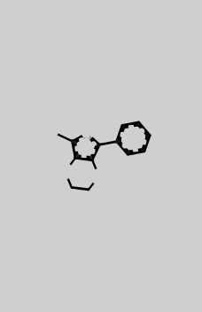 [CH2]c1sc(-c2ccccc2)c2c1OCCO2